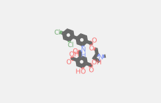 CN1CCC1COC(=O)c1ccc(-c2ccc(Cl)cc2Cl)cc1NC(=O)c1cc(C(=O)O)c(O)cc1C(=O)O